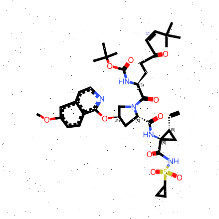 C=C[C@@H]1C[C@]1(NC(=O)[C@@H]1C[C@@H](Oc2nccc3cc(OC)ccc23)CN1C(=O)[C@H](CCC(=O)/C=C\C(C)(C)C)NC(=O)OC(C)(C)C)C(=O)NS(=O)(=O)C1CC1